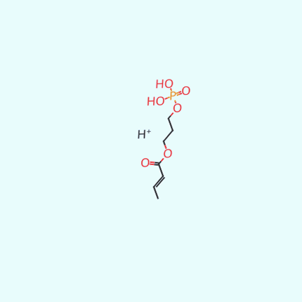 CC=CC(=O)OCCCOP(=O)(O)O.[H+]